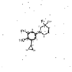 CC(C)c1cc(N2CCCC(F)(F)C2)cc(C2CC2)c1O